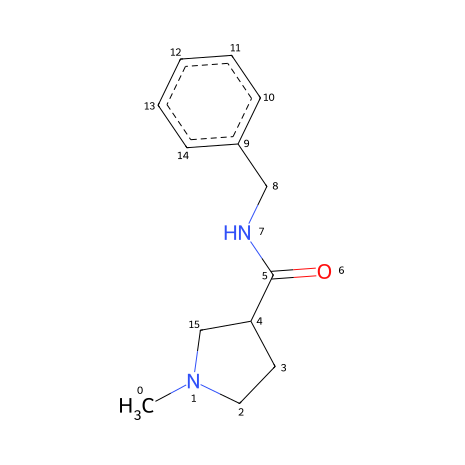 CN1CCC(C(=O)NCc2ccccc2)C1